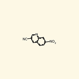 N#Cc1cnc2cc([N+](=O)[O-])ccc2c1